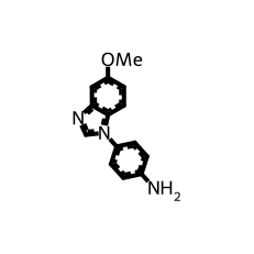 COc1ccc2c(c1)ncn2-c1ccc(N)cc1